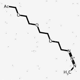 CN=[N+]=NCCOCCOCCOCC(C)=O